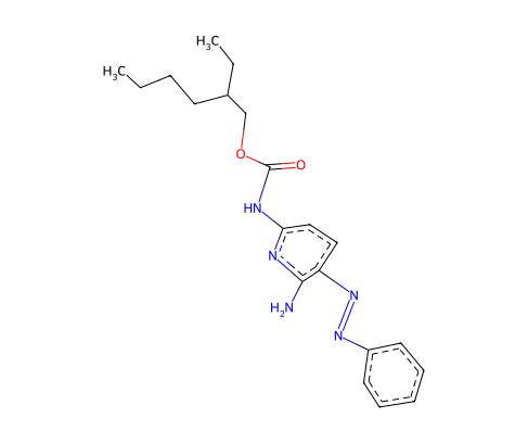 CCCCC(CC)COC(=O)Nc1ccc(/N=N/c2ccccc2)c(N)n1